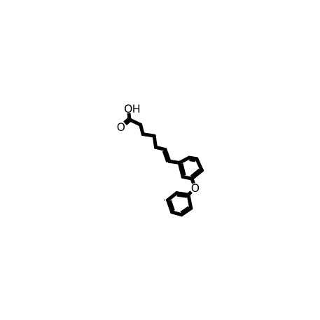 O=C(O)CCCCC=Cc1cccc(Oc2c[c]ccc2)c1